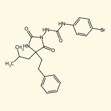 CC(C)CC1(CCc2ccccc2)NC(=O)N(NC(=O)Nc2ccc(Br)cc2)C1=O